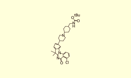 CC(C)(C)OC(=O)NCC1CCC(N2CCC(c3ccc4c(c3)-n3c(nc(=O)c5c(Cl)cccc53)C4(C)C)CC2)CC1